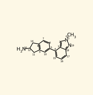 Cn1cc2c(-c3ccc4c(c3)CC(N)C4)cccc2n1